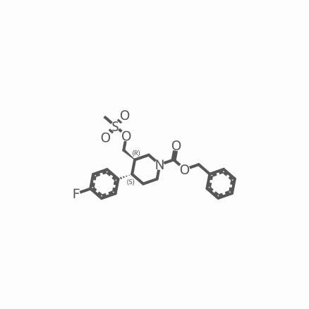 CS(=O)(=O)OC[C@H]1CN(C(=O)OCc2ccccc2)CC[C@@H]1c1ccc(F)cc1